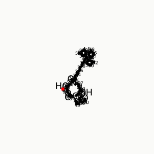 CC[C@H]1OC(=O)[C@H](C)CC[C@@H](O[C@H]2C[C@@H](N(C)C)C[C@@H](C)O2)[C@](C)(O)C[C@@H](C)CN(C(=O)CCCCCCCCCC[PH](c2cccc(C)c2)(c2cccc(C)c2)c2cccc(C)c2)[C@H](C)C[C@]1(C)O